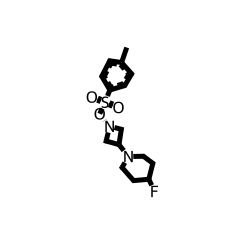 Cc1ccc(S(=O)(=O)ON2CC(N3CCC(F)CC3)C2)cc1